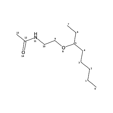 CCCCCC(CC)OCCNC(C)=O